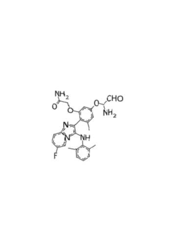 Cc1cccc(C)c1Nc1c(-c2c(C)cc(OC(N)C=O)cc2OCC(N)=O)nc2ccc(F)cn12